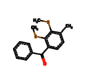 CSc1c(C)ccc(C(=O)c2ccccc2)c1SC